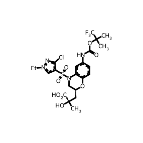 CCn1cc(S(=O)(=O)N2C[C@H](C[C@](C)(O)C(=O)O)Oc3ccc(NC(=O)OC(C)(C)C(F)(F)F)cc32)c(Cl)n1